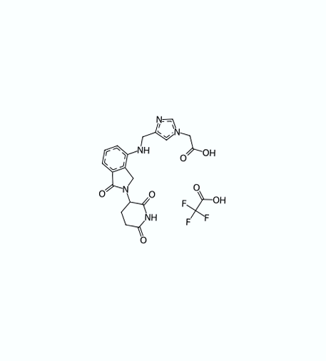 O=C(O)C(F)(F)F.O=C(O)Cn1cnc(CNc2cccc3c2CN(C2CCC(=O)NC2=O)C3=O)c1